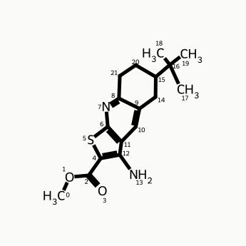 COC(=O)c1sc2nc3c(cc2c1N)CC(C(C)(C)C)CC3